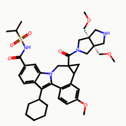 COC[C@]12CNC[C@@]1(COC)CN(C(=O)C13CC1c1cc(OC)ccc1-c1c(C4CCCCC4)c4ccc(C(=O)NS(=O)(=O)C(C)C)cc4n1C3)C2